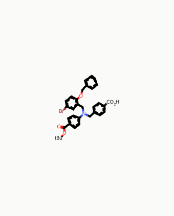 CC(C)(C)OC(=O)c1ccc(N(Cc2ccc(C(=O)O)cc2)Cc2cc(Br)ccc2OCc2ccccc2)cc1